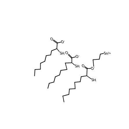 CCCCCCCCC(S)C(=O)[O-].CCCCCCCCC(S)C(=O)[O-].CCCCCCCCC(S)C(=O)[O-].CCC[CH2][Sn+3]